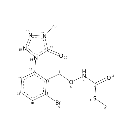 CSC(=O)NOCc1c(Br)cccc1-n1nnn(C)c1=O